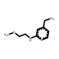 CCc1ccnc(NCCOC)c1